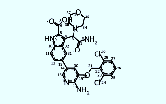 NC(=O)C(c1c(C(=O)O)[nH]c2ccc(-c3cnc(N)c(OCc4c(Cl)cccc4Cl)c3)cc12)N1CCOCC1